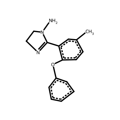 Cc1ccc(Oc2ccccc2)c(C2=NCCN2N)c1